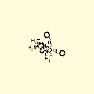 CC/C=N\n1c(C(=N)N)ccc1C1(C)O[C@H](COCc2ccccc2)[C@@H](OCc2ccccc2)[C@H]1F